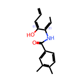 C=C/C=C(O)\C(=C/C)NC(=O)c1ccc(C)c(C)c1